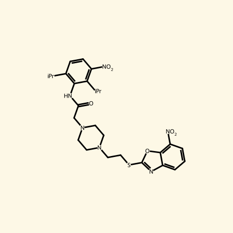 CC(C)c1ccc([N+](=O)[O-])c(C(C)C)c1NC(=O)CN1CCN(CCSc2nc3cccc([N+](=O)[O-])c3o2)CC1